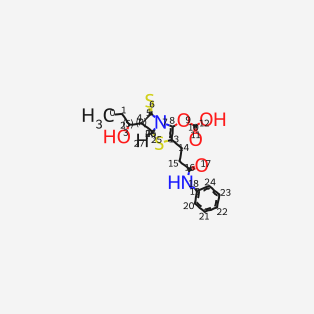 CC[C@H](O)[C@H]1C(=S)N2C(OC(=O)O)=C(CCC(=O)Nc3ccccc3)S[C@H]12